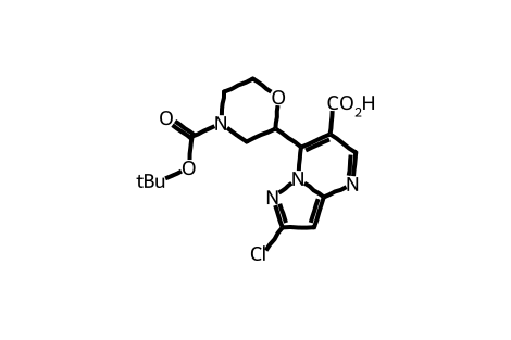 CC(C)(C)OC(=O)N1CCOC(c2c(C(=O)O)cnc3cc(Cl)nn23)C1